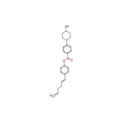 C=CCCC=Cc1ccc(OC(=O)c2ccc(C3CCC(CCC)CC3)cc2)cc1